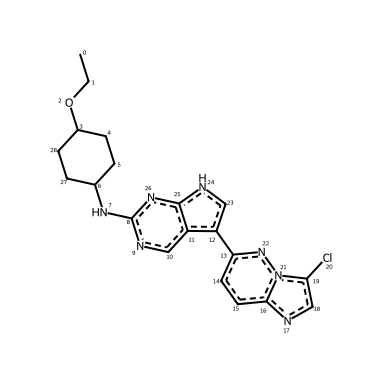 CCOC1CCC(Nc2ncc3c(-c4ccc5ncc(Cl)n5n4)c[nH]c3n2)CC1